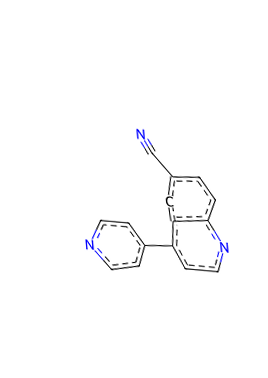 N#Cc1ccc2nccc(-c3ccncc3)c2c1